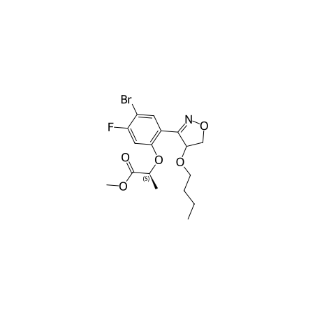 CCCCOC1CON=C1c1cc(Br)c(F)cc1O[C@@H](C)C(=O)OC